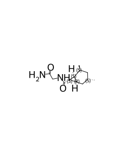 C[C@@H]1C[C@H]2[C@H](C(=O)NCC(N)=O)[C@H]2[C@@H](C)C1